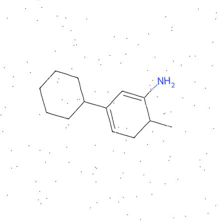 CC1CC=C(C2CCCCC2)C=C1N